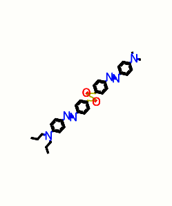 CCCN(CCC)c1ccc(N=Nc2ccc(S(=O)(=O)c3ccc(N=Nc4ccc(N(C)C)cc4)cc3)cc2)cc1